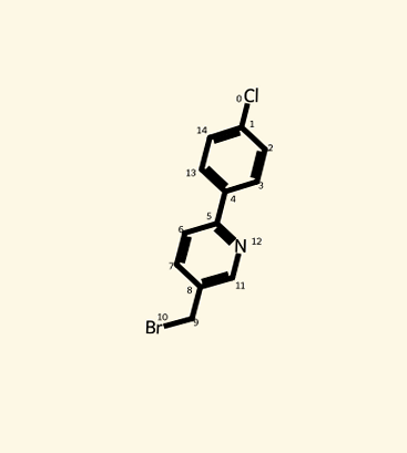 Clc1ccc(-c2ccc(CBr)cn2)cc1